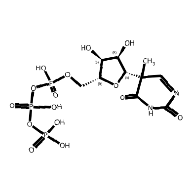 CC1([C@@H]2O[C@H](COP(=O)(O)OP(=O)(O)OP(=O)(O)O)[C@@H](O)[C@H]2O)C=NC(=O)NC1=O